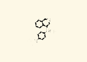 CN(c1ccc([N+](=O)[O-])cc1)c1cncc2ccccc12